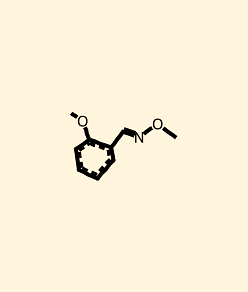 CO/N=C/c1ccccc1OC